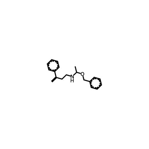 C=C(CCNC(C)OCc1ccccc1)c1ccccc1